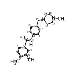 Cc1ccc(C(=O)Nc2ccc(CN3CCN(C)CC3)cc2)cc1C